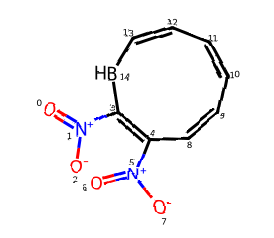 O=[N+]([O-])C1=C([N+](=O)[O-])C=CC=CC=CB1